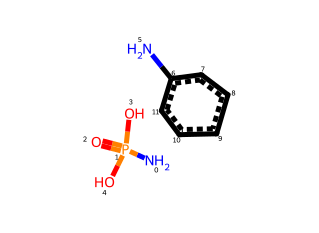 NP(=O)(O)O.Nc1ccccc1